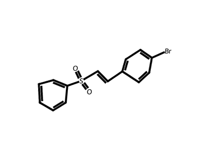 O=S(=O)(C=Cc1ccc(Br)cc1)c1ccccc1